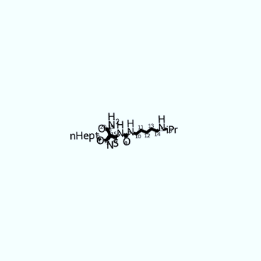 CCCCCCCOc1nsc(NC(=O)NCCCCCNC(C)C)c1C(N)=O